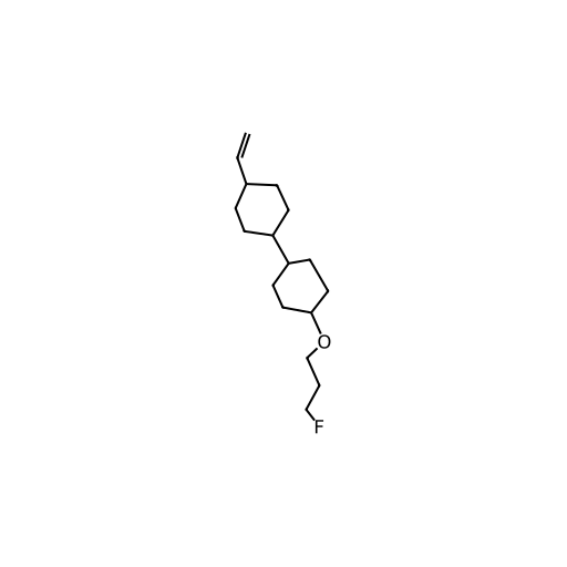 C=CC1CCC(C2CCC(OCCCF)CC2)CC1